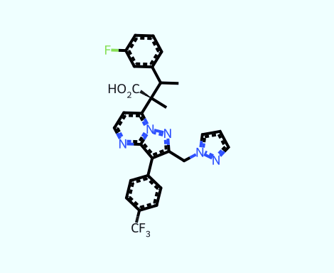 CC(c1cccc(F)c1)[C@@](C)(C(=O)O)c1ccnc2c(-c3ccc(C(F)(F)F)cc3)c(Cn3cccn3)nn12